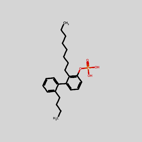 CCCCCCCCc1c(OP(=O)(O)O)cccc1-c1ccccc1CCCC